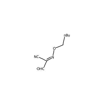 CCCCCON=C([C]=O)C#N